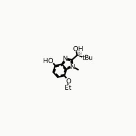 CCOc1ccc(O)c2nc([C@@H](O)C(C)(C)C)n(C)c12